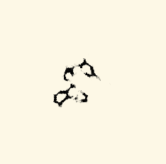 O=C(c1cccc(F)c1-n1nccn1)N1CC2CC(Nc3ncc(C(F)(F)F)cc3Cl)C1C2